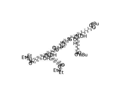 CCCCOC(=O)CCCCCCC(O)CN(CCCSSCCN1CCN(CCOC(=O)CCCCN(CC(O)CCCCCCC(=O)OCC(CC)CC)CC(O)CCCCCCC(=O)OCC(CC)CC)CC1)CC(O)CCCCCCC(=O)OCCCC